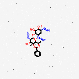 CC1OC(c2ccccc2)O[C@H]2C(O)C(N=[N+]=[N-])[C@@H](O[C@@H]3C(N=[N+]=[N-])CC(N=[N+]=[N-])C(O)C3O)OC12